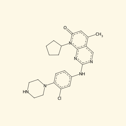 Cc1cc(=O)n(C2CCCC2)c2nc(Nc3ccc(N4CCNCC4)c(Cl)c3)ncc12